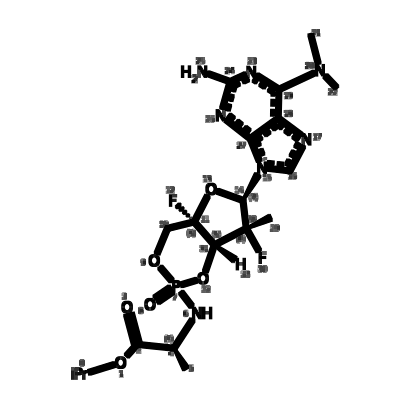 CC(C)OC(=O)[C@H](C)NP1(=O)OC[C@@]2(F)O[C@@H](n3cnc4c(N(C)C)nc(N)nc43)[C@](C)(F)[C@@H]2O1